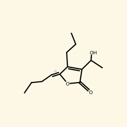 CCC/C=C1\OC(=O)C(C(C)O)=C1CCC